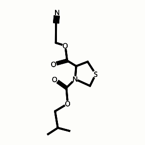 CC(C)COC(=O)N1CSCC1C(=O)OCC#N